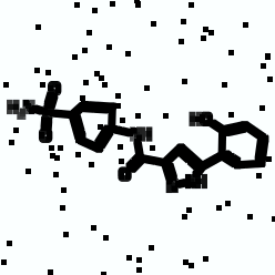 NS(=O)(=O)c1ccc(NC(=O)c2cc(-c3ccccc3O)[nH]n2)cc1